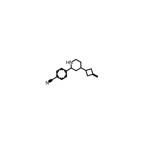 C=C1CC(C2CCNC(c3ccc(C#N)cc3)C2)C1